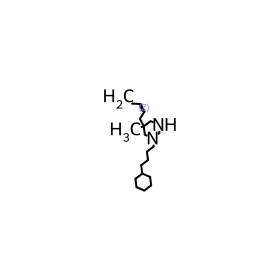 C=C/C=C\CC1(C)CNCN(CCCCC2CCCCC2)C1